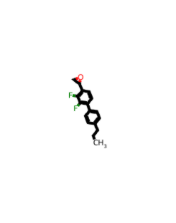 CCCc1ccc(-c2ccc(C3CO3)c(F)c2F)cc1